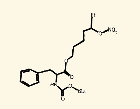 CCC(CCCCOC(=O)C(Cc1ccccc1)NC(=O)OC(C)(C)C)O[N+](=O)[O-]